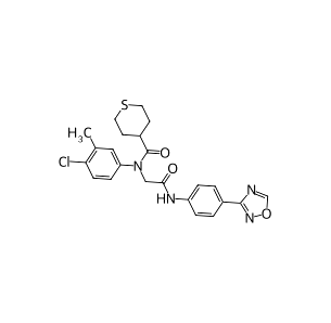 Cc1cc(N(CC(=O)Nc2ccc(-c3ncon3)cc2)C(=O)C2CCSCC2)ccc1Cl